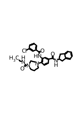 CCNC(=O)N1CCCN(c2ccc(C(=O)NC3Cc4ccccc4C3)cc2NC(=O)c2cccc(Cl)c2)CC1